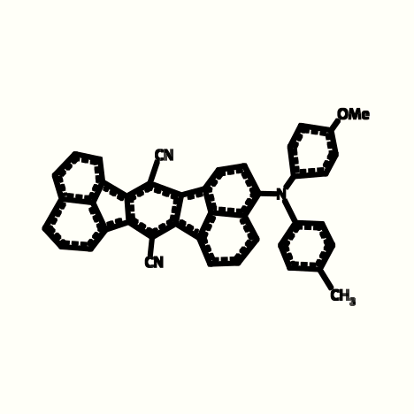 COc1ccc(N(c2ccc(C)cc2)c2ccc3c4c(C#N)c5c6cccc7cccc(c5c(C#N)c4c4cccc2c43)c76)cc1